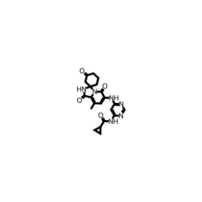 Cc1cc(Nc2cc(NC(=O)C3CC3)ncn2)c(=O)n2c1C(=O)NC21CCCC(=O)C1